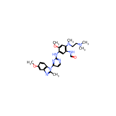 COc1ccc2c(c1)nc(C)n2-c1ccnc(Nc2cc(NC=O)c(N(C)CCN(C)C)cc2OC)n1